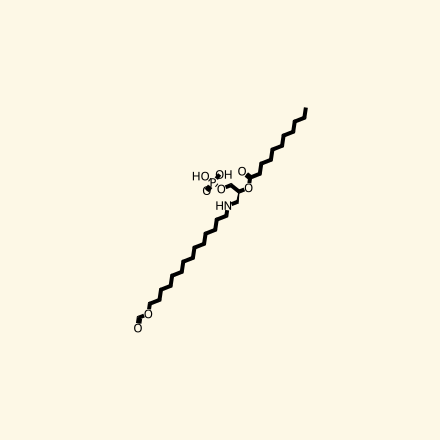 CCCCCCCCCCC(=O)O[C@@H](CNCCCCCCCCCCCCCCOC=O)COP(=O)(O)O